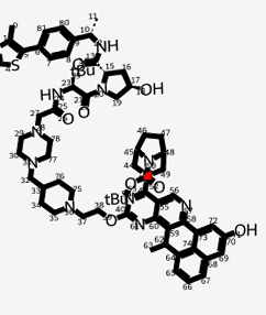 Cc1ncsc1-c1ccc([C@H](C)NC(=O)[C@@H]2C[C@@H](O)CN2C(=O)[C@@H](NC(=O)CN2CCN(CC3CCN(CCOc4nc(N5CC6CCC(C5)N6C(=O)OC(C)(C)C)c5cnc6c(c5n4)C(C)c4cccc5cc(O)cc-6c45)CC3)CC2)C(C)(C)C)cc1